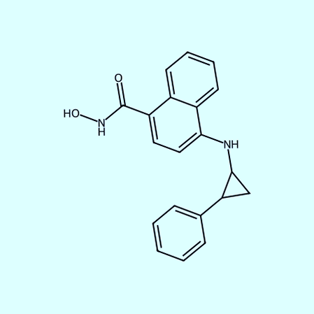 O=C(NO)c1ccc(NC2CC2c2ccccc2)c2ccccc12